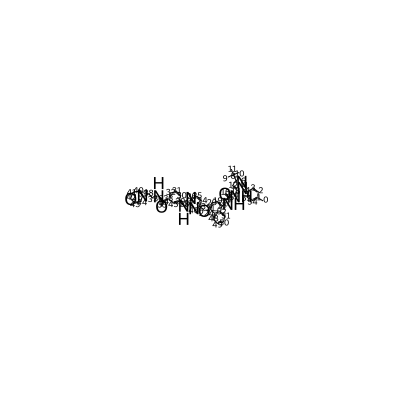 Cc1ccc(-n2nc(C(C)(C)C)cc2NC(=O)Nc2ccc(Oc3ccnc(Nc4cccc(C(=O)NCCN5CCOCC5)c4)n3)c3ccccc23)cc1